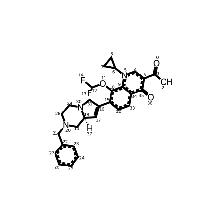 O=C(O)c1cn(C2CC2)c2c(OC(F)F)c(C3=C[C@H]4CN(Cc5ccccc5)CCN4C3)ccc2c1=O